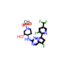 CS(=O)(=O)N1CC[C@@H](Nc2ncc3c(F)cc(-c4ncc(C(F)F)cc4F)n3n2)[C@H](O)C1